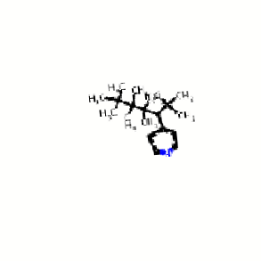 CC(C)(C)C(c1ccncc1)C(C)(C)C(C)(C)C(C)(C)C